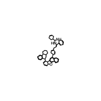 NC(N/C(=C\CC1=CCC(c2cc3c(c4ccccc24)OC2C=CC=C(C4CC5CCCCC5c5ccccc54)C32)C=C1)C1=CC=CCC1)C1CC=CCC1